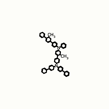 CC1CC(c2ccc(N(C3=CC=C(C4=CCC(N(c5ccc(-c6ccccc6)cc5)C5C=CC(C6=CC=CCC6)=CC5)C=C4)C(C)C3)c3ccccc3)cc2)=CC=C1C1=CCCC=C1